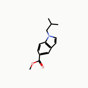 COC(=O)c1ccc2c(ccn2CC(C)C)c1